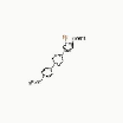 CCCCCc1ccc(-c2ccc(-c3ccc(CCCCC)c(Br)c3)cc2)cc1